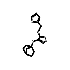 c1csc(COc2nsnc2OC23CCC(CC2)C3)c1